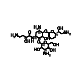 NCC[C@H](O)C(=O)N[C@@H]1C[C@H](N)C(OC2=CCC[C@@H](C(O)CN)O2)C(O)[C@H]1O[C@H]1OC(CO)[C@@H](O)[C@H](N)C1O